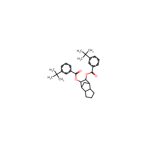 CC(C)(C)c1cccc(C(=O)OC2C3CC(C4CCCC43)C2OC(=O)c2cccc(C(C)(C)C)c2)c1